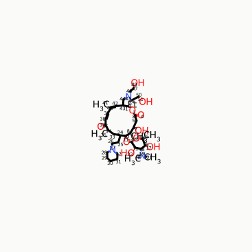 CCC1OC(=O)CC(O)C(C)C(O[C@@H]2O[C@H](C)[C@@H](O)[C@H](N(C)C)[C@H]2O)C(CCN2CCCCC2)CC(C)C(=O)C=CC(C)=CC1CN(CCO)CCO